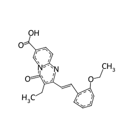 CCOc1ccccc1C=Cc1nc2ccc(C(=O)O)cn2c(=O)c1CC